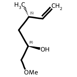 C=C[C@@H](C)C[C@@H](O)COC